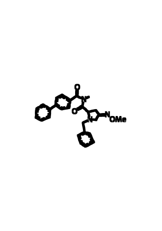 CON=C1CC(C(=O)N(C)C(=O)c2ccc(-c3ccccc3)cc2)N(Cc2ccccc2)C1